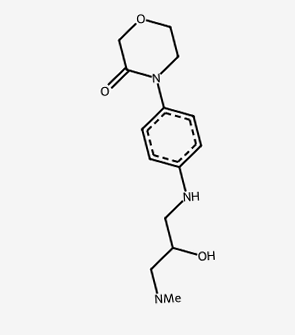 CNCC(O)CNc1ccc(N2CCOCC2=O)cc1